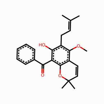 COc1c2c(c(C(=O)c3ccccc3)c(O)c1CC=C(C)C)OC(C)(C)C=C2